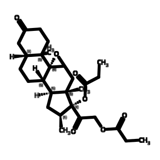 CCC(=O)OCC(=O)[C@@]1(OC(=O)CC)[C@@H](C)C[C@H]2[C@@H]3CC[C@@H]4CC(=O)CC[C@]4(C)[C@]34OC4C[C@@]21C